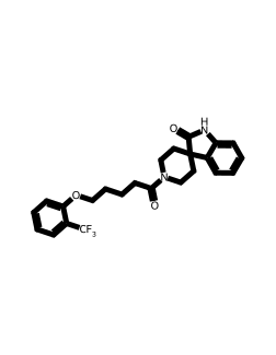 O=C(CCCCOc1ccccc1C(F)(F)F)N1CCC2(CC1)C(=O)Nc1ccccc12